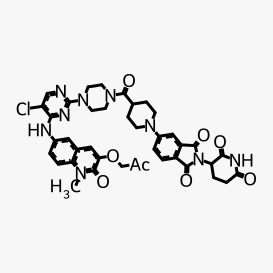 CC(=O)COc1cc2cc(Nc3nc(N4CCN(C(=O)C5CCN(c6ccc7c(c6)C(=O)N(C6CCC(=O)NC6=O)C7=O)CC5)CC4)ncc3Cl)ccc2n(C)c1=O